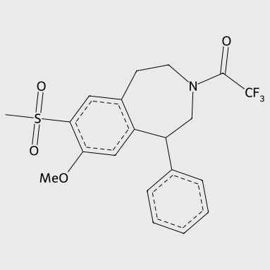 COc1cc2c(cc1S(C)(=O)=O)CCN(C(=O)C(F)(F)F)CC2c1ccccc1